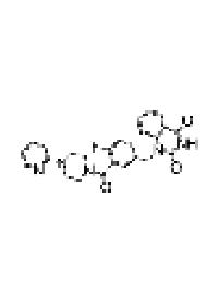 O=C(c1cc(Cn2c(=O)[nH]c(=O)c3ccccc32)ccc1F)N1CCN(c2ccccn2)CC1